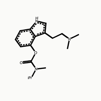 CC(C)N(C)C(=O)Oc1cccc2[nH]cc(CCN(C)C)c12